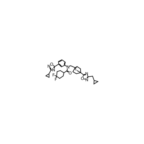 O=C(C1CCC(F)(F)CC1)N(CC12CCC(c3nc(CC4CC4)no3)(CC1)CC2)c1cccc(-c2nc(C3CC3)no2)c1